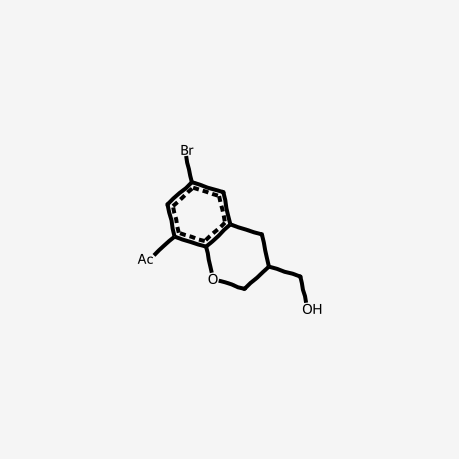 CC(=O)c1cc(Br)cc2c1OCC(CO)C2